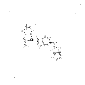 CC(=O)NC(Cc1coc2cc(Oc3nc4ncccc4s3)ccc12)C1CCNCC1